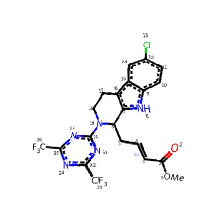 COC(=O)/C=C/CC1c2[nH]c3ccc(Cl)cc3c2CCN1c1nc(C(F)(F)F)nc(C(F)(F)F)n1